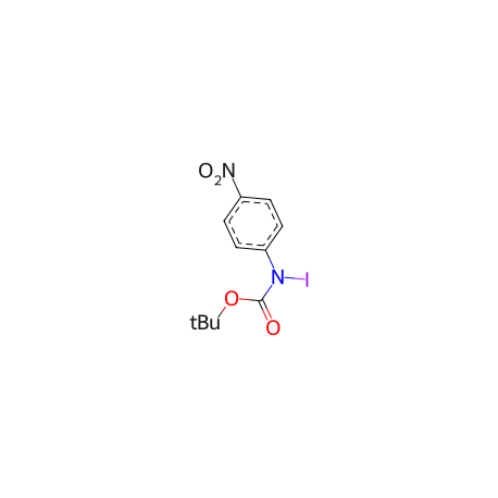 CC(C)(C)OC(=O)N(I)c1ccc([N+](=O)[O-])cc1